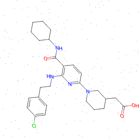 O=C(O)CC1CCCN(c2ccc(C(=O)NC3CCCCC3)c(NCCc3ccc(Cl)cc3)n2)C1